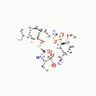 CCC(NC(=O)COc1cc(C(C)C)ccc1CCNS(=O)(=O)c1cc(C#N)ccc1OC)C(=O)O